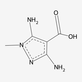 Cn1nc(N)c(C(=O)O)c1N